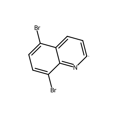 Brc1ccc(Br)c2n[c]ccc12